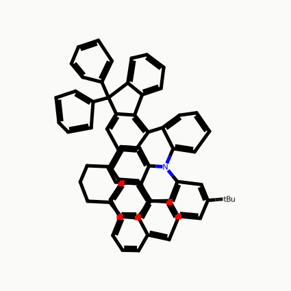 CC(C)(C)c1ccc(-c2ccccc2)c(N(c2ccccc2-c2cccc3c2-c2ccccc2C3(c2ccccc2)c2ccccc2)c2ccccc2-c2cccc3cccc(C4CCCCC4)c23)c1